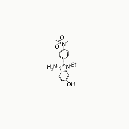 CCn1c(-c2ccc(N(C)S(C)(=O)=O)cc2)c(N)c2ccc(O)cc21